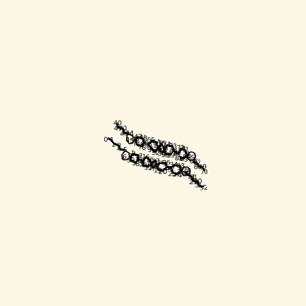 CCCCCCOC1CCC(C2CCC3(CC2)CC2(CCC(C4CCC(OCCCCCC)CC4)CC2)C3)CC1.CCCCCOC1CCC([C@H]2CCC3(CC2)CC2(CC[C@H]([C@H]4CC[C@H](OCCCCC)CC4)CC2)C3)CC1